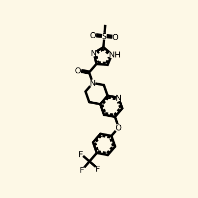 CS(=O)(=O)c1nc(C(=O)N2CCc3cc(Oc4ccc(C(F)(F)F)cc4)cnc3C2)c[nH]1